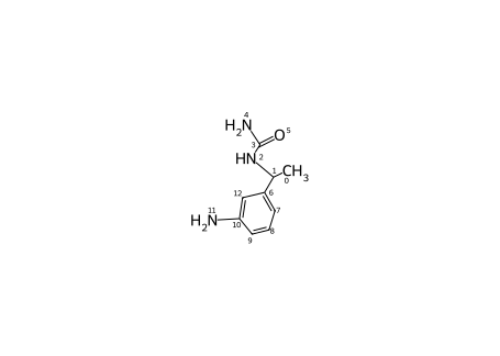 CC(NC(N)=O)c1cccc(N)c1